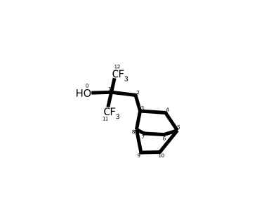 OC(CC1CC2CCC1CC2)(C(F)(F)F)C(F)(F)F